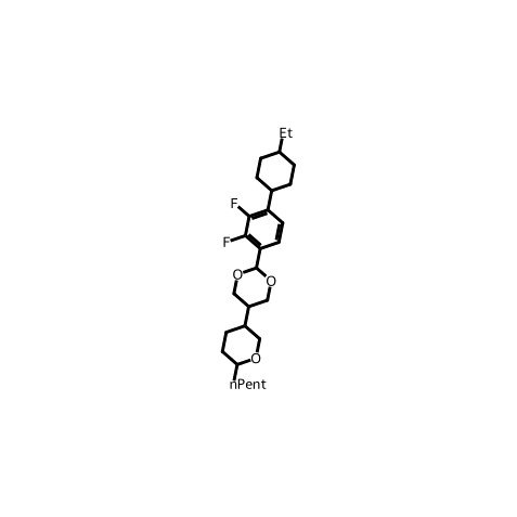 CCCCCC1CCC(C2COC(c3ccc(C4CCC(CC)CC4)c(F)c3F)OC2)CO1